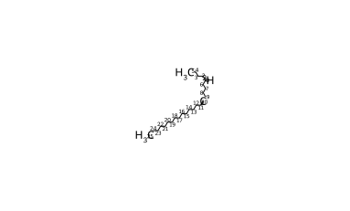 [2H][C@@H](CCCC)CCCC=C=CCCCCCCCCCCCCCC